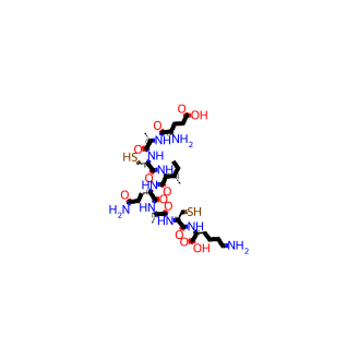 CC[C@H](C)[C@H](NC(=O)[C@H](CS)NC(=O)[C@H](C)NC(=O)[C@@H](N)CCC(=O)O)C(=O)N[C@@H](CCC(N)=O)C(=O)N[C@@H](C)C(=O)N[C@@H](CS)C(=O)N[C@@H](CCCCN)C(=O)O